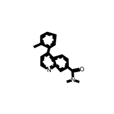 Cc1ccccc1-c1ccnc2cc(C(=O)N(C)C)ccc12